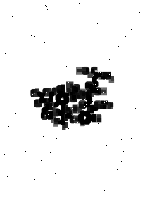 C=CCN(CC=C)C(=O)C(Cl)Cl.CCc1cccc(CC)c1N(COC)C(=O)CCl.CP(=O)(O)CCC(N)C(=O)O.Cc1nn(-c2cc(NS(C)(=O)=O)c(Cl)cc2Cl)c(=O)n1C(F)F